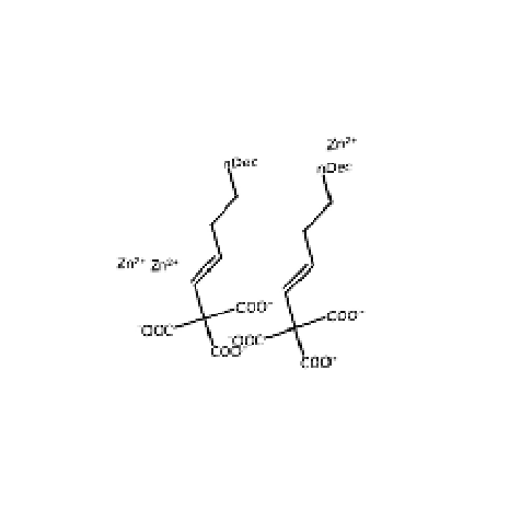 CCCCCCCCCCCCC=CC(C(=O)[O-])(C(=O)[O-])C(=O)[O-].CCCCCCCCCCCCC=CC(C(=O)[O-])(C(=O)[O-])C(=O)[O-].[Zn+2].[Zn+2].[Zn+2]